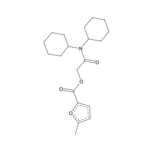 Cc1ccc(C(=O)OCC(=O)N(C2CCCCC2)C2CCCCC2)o1